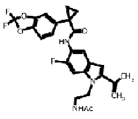 C=C(C)c1cc2cc(NC(=O)C3(c4ccc5c(c4)OC(F)(F)O5)CC3)c(F)cc2n1CCNC(C)=O